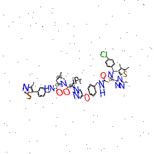 Cc1ncsc1-c1ccc(CNC(=O)[C@@H]2C[C@@H](C)CN2C(=O)[C@@H](C(C)C)n2cc(Oc3ccc(CNC(=O)C[C@@H]4N=C(c5ccc(Cl)cc5)c5c(sc(C)c5C)-n5c(C)nnc54)cc3)cn2)cc1